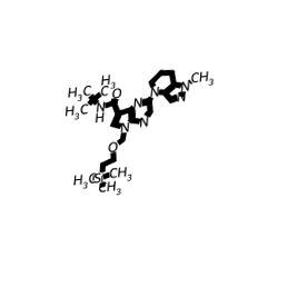 Cn1ncc2c1CCCN2c1cnc2c(n1)c(C(=O)NC(C)(C)C)cn2COCC[Si](C)(C)C